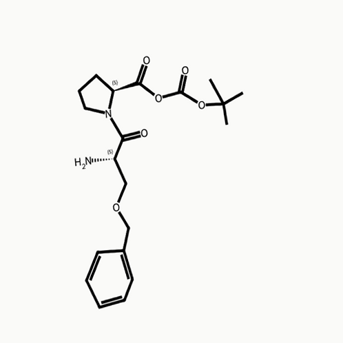 CC(C)(C)OC(=O)OC(=O)[C@@H]1CCCN1C(=O)[C@@H](N)COCc1ccccc1